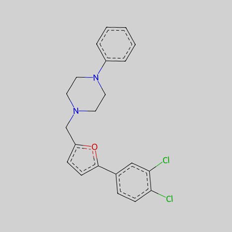 Clc1ccc(-c2ccc(CN3CCN(c4ccccc4)CC3)o2)cc1Cl